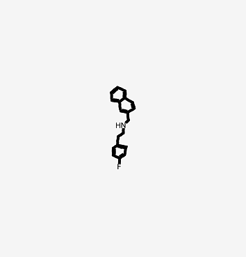 Fc1ccc(CCNCc2ccc3ccccc3c2)cc1